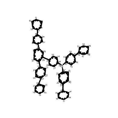 c1ccc(-c2ccc(-c3ccc(-c4ccc(-c5ccccc5)cc4)c(-c4ccc(N(c5ccc(-c6ccccc6)cc5)c5ccc(-c6ccccc6)cc5)cc4)c3)cc2)cc1